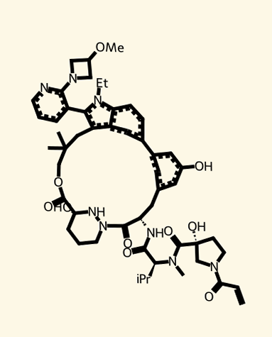 C=CC(=O)N1CC[C@](O)(C(=O)N(C)[C@H](C(=O)N[C@H]2Cc3cc(O)cc(c3)-c3ccc4c(c3)c(c(-c3cccnc3N3CC(OC)C3)n4CC)CC(C)(C)COC(=O)[C@@]3(O)CCCN(N3)C2=O)C(C)C)C1